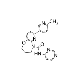 Cc1ccc(-c2ccc3c(n2)N(C(=O)Nc2ccncn2)CCCO3)cn1